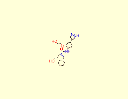 O=C(Nc1ccc(-c2cn[nH]c2)cc1OCCO)N(CCCO)CC1CCCCC1